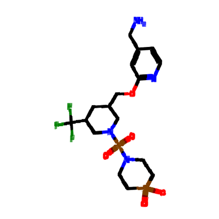 NCc1ccnc(OCC2CC(C(F)(F)F)CN(S(=O)(=O)N3CCS(=O)(=O)CC3)C2)c1